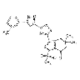 CC1(C)CC(=O)c2c(S(C)(=O)=O)sc(-c3nc(-c4cc(-c5cccc(C(F)(F)F)c5)no4)cs3)c2C1